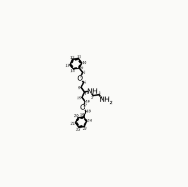 NCCNC(CCOCc1ccccc1)CCOCc1ccccc1